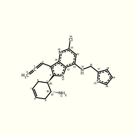 C=C=Cc1c([C@@H]2CC=CC[C@H]2N)sc2c(NCc3cccs3)cc(Cl)nc12